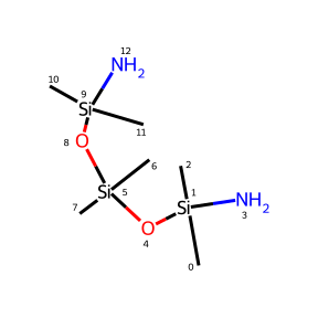 C[Si](C)(N)O[Si](C)(C)O[Si](C)(C)N